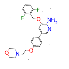 Nc1ncc(-c2ccc(OCCN3CCOCC3)cc2)cc1OCc1c(F)cccc1F